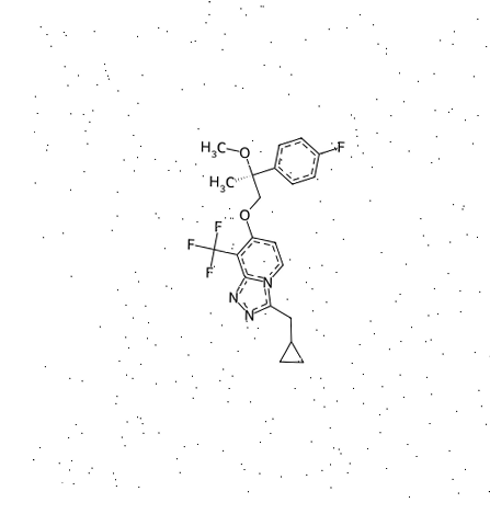 CO[C@](C)(COc1ccn2c(CC3CC3)nnc2c1C(F)(F)F)c1ccc(F)cc1